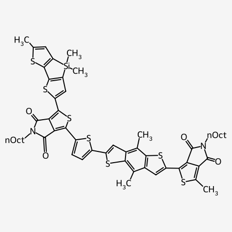 CCCCCCCCN1C(=O)c2c(C)sc(-c3cc4c(C)c5sc(-c6ccc(-c7sc(-c8cc9c(s8)-c8sc(C)cc8[Si]9(C)C)c8c7C(=O)N(CCCCCCCC)C8=O)s6)cc5c(C)c4s3)c2C1=O